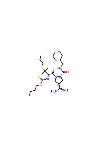 CCCCOC(=O)N[C@@H](C(=O)N1C[C@H](C(=N)N)C[C@H]1C(=O)NCC1CCCCC1)C(C)(C)SCCC